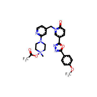 C[N+]1(OC(=O)C(F)(F)F)CCN(c2cc(Cn3cc(-c4nnc(-c5ccc(OC(F)(F)F)cc5)o4)ccc3=O)ccn2)CC1